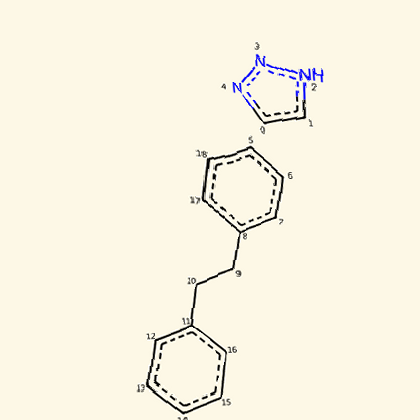 c1c[nH]nn1.c1ccc(CCc2ccccc2)cc1